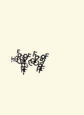 CCOC(=O)c1cc(F)cc(-c2ccc(F)c3cc(Cc4cccc(C(F)(F)F)c4)sc23)c1.O=C(O)c1cc(F)cc(-c2ccc(F)c3cc(Cc4cccc(C(F)(F)F)c4)sc23)c1